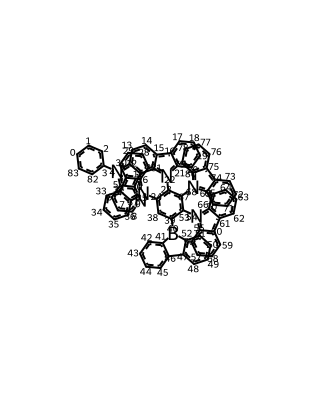 c1ccc(-n2c3cccnc3c3c2ccc2c4ccccc4n(-c4c(-n5c6ccccc6c6ccccc65)cc(B5c6ccccc6-c6ccccc65)c(-n5c6ccccc6c6ccccc65)c4-n4c5ccccc5c5ccccc54)c23)cc1